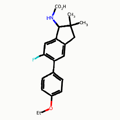 CCOc1ccc(-c2cc3c(cc2F)C(NC(=O)O)C(C)(C)C3)cc1